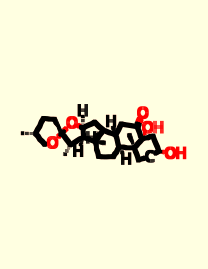 C[C@@H]1CC[C@@]2(OC1)O[C@H]1C[C@H]3[C@@H]4CC(=O)[C@@]5(O)C[C@@H](O)CC[C@]5(C)[C@H]4CC[C@]3(C)[C@H]1[C@@H]2C